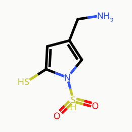 NCc1cc(S)n([SH](=O)=O)c1